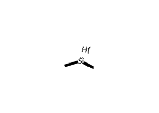 C[Si]C.[Hf]